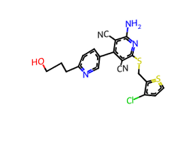 N#Cc1c(N)nc(SCc2sccc2Cl)c(C#N)c1-c1ccc(CCCO)nc1